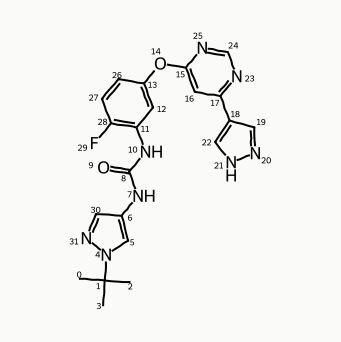 CC(C)(C)n1cc(NC(=O)Nc2cc(Oc3cc(-c4cn[nH]c4)ncn3)ccc2F)cn1